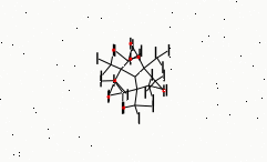 IC(I)(I)C(C(C(C(I)(I)I)(C(I)(I)I)C(I)(I)I)C(C(I)(I)I)(C(I)(I)I)C(I)(I)I)(C(I)(I)I)C(I)(I)I